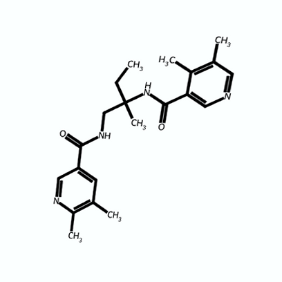 CCC(C)(CNC(=O)c1cnc(C)c(C)c1)NC(=O)c1cncc(C)c1C